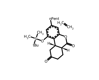 C=C.CCCCCc1cc2c(c(O[Si](C)(C)C(C)(C)C)c1)[C@H]1CC(=O)CC[C@H]1C(=O)O2